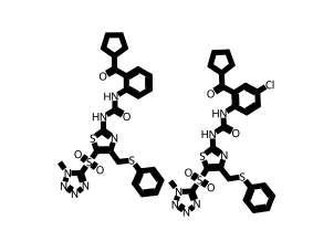 Cn1nnnc1S(=O)(=O)c1sc(NC(=O)Nc2ccc(Cl)cc2C(=O)C2CCCC2)nc1CSc1ccccc1.Cn1nnnc1S(=O)(=O)c1sc(NC(=O)Nc2ccccc2C(=O)C2CCCC2)nc1CSc1ccccc1